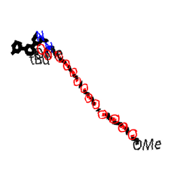 COCCOCCOCCOCCOCCOCCOCCOCCOCCOCCOCCOCCN(Cc1cc(-c2cc(-c3cccc(C)c3)ccc2OC)ccn1)C(=O)OC(C)(C)C